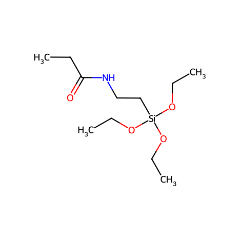 CCO[Si](CCNC(=O)CC)(OCC)OCC